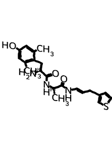 Cc1cc(O)cc(C)c1C[C@H](N)C(=O)N[C@H](C)C(=O)NC=CCc1ccsc1